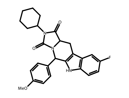 COc1ccc(C2c3[nH]c4ccc(F)cc4c3CC3C(=O)N(C4CCCCC4)C(=O)N32)cc1